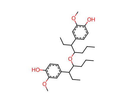 CCCC(OC(CCC)C(CC)c1ccc(O)c(OC)c1)C(CC)c1ccc(O)c(OC)c1